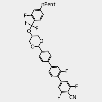 CCCCCc1ccc(C(F)(F)OC2COC(c3ccc(-c4ccc(-c5cc(F)c(C#N)c(F)c5)c(F)c4)cc3)OC2)c(F)c1